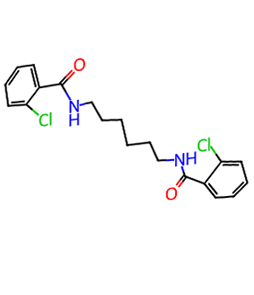 O=C(NCCCCCCNC(=O)c1ccccc1Cl)c1ccccc1Cl